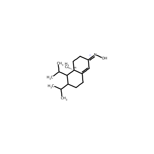 CC(C)C1CCC2=C/C(=N\O)CC[C@]2(C)C1C(C)C